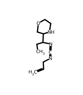 C=CCN=C=NC(CC)C1COCCN1